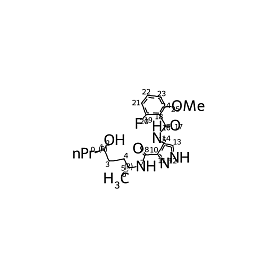 CCC[C@@H](O)CC[C@@H](C)NC(=O)c1n[nH]cc1NC(=O)c1c(F)cccc1OC